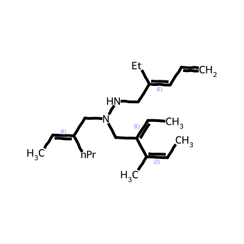 C=C/C=C(\CC)CNN(C/C(=C/C)CCC)CC(=C/C)/C(C)=C\C